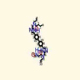 CCCC(=O)N(CCC)Cc1ncc(-c2ccc(-c3ccc(-c4cnc(CN(CCC)C(=O)CNC=O)[nH]4)cc3)cc2)[nH]1